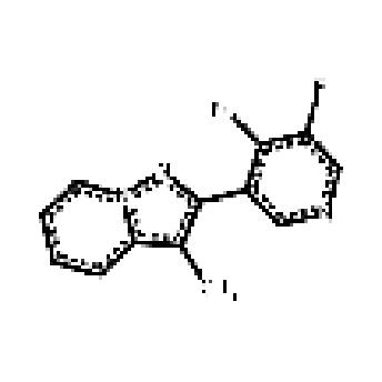 CCc1c(F)cncc1-c1nn2ccccc2c1C